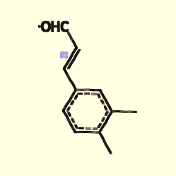 Cc1ccc(/C=C/[C]=O)cc1C